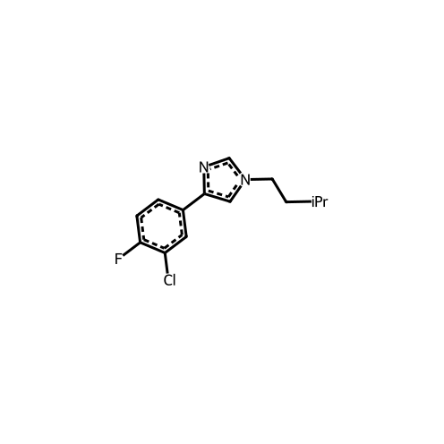 CC(C)CCn1cnc(-c2ccc(F)c(Cl)c2)c1